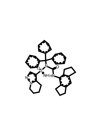 N=S(=O)(c1cnn2c1CCCC2)N(C(=O)Nc1c2c(cc3c1CCC3)CCC2)C(c1ccccc1)(c1ccccc1)c1ccccc1